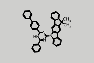 CC1(C)c2ccccc2-c2cc3c(cc21)c1ccccc1n3C1=NC(c2ccc(-c3ccccc3)cc2)NC(c2ccccc2)=N1